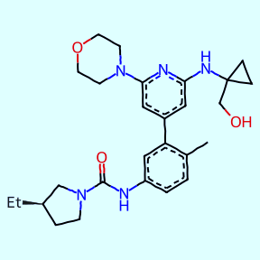 CC[C@@H]1CCN(C(=O)Nc2ccc(C)c(-c3cc(NC4(CO)CC4)nc(N4CCOCC4)c3)c2)C1